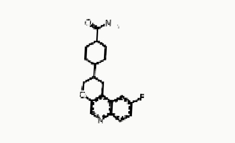 NC(=O)C1CCC(C2COc3cnc4ccc(F)cc4c3C2)CC1